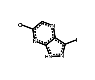 Clc1cnc2c(I)n[nH]c2n1